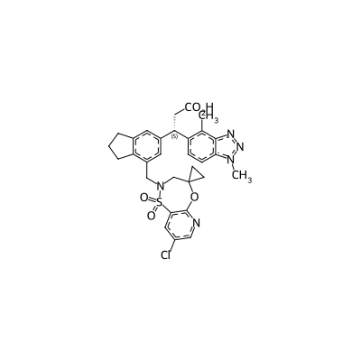 Cc1c([C@@H](CC(=O)O)c2cc3c(c(CN4CC5(CC5)Oc5ncc(Cl)cc5S4(=O)=O)c2)CCC3)ccc2c1nnn2C